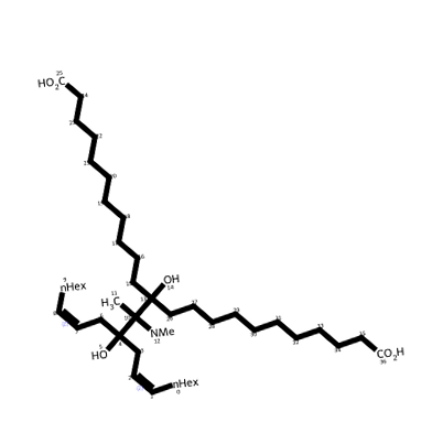 CCCCCC/C=C\CC(O)(C/C=C\CCCCCC)C(C)(NC)C(O)(CCCCCCCCCCC(=O)O)CCCCCCCCCCC(=O)O